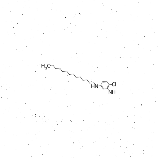 CCCCCCCCCCCCCCNc1ccc(Cl)c([NH])c1